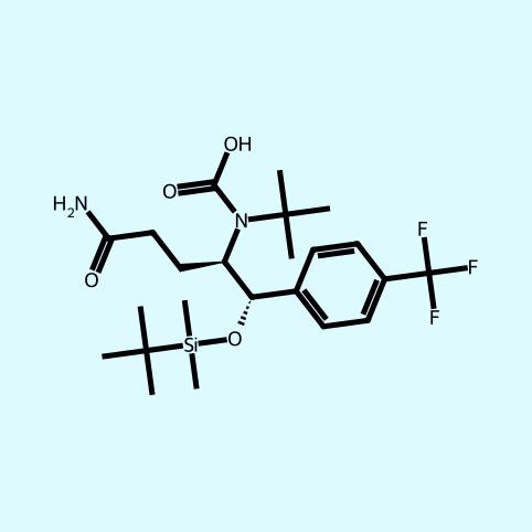 CC(C)(C)N(C(=O)O)[C@H](CCC(N)=O)[C@@H](O[Si](C)(C)C(C)(C)C)c1ccc(C(F)(F)F)cc1